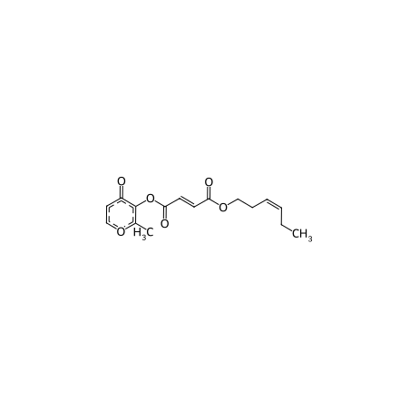 CC/C=C\CCOC(=O)/C=C/C(=O)Oc1c(C)occc1=O